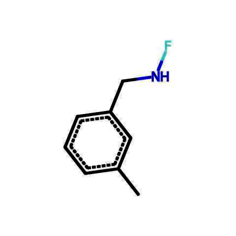 Cc1cccc(CNF)c1